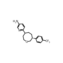 Nc1ccc(C2CCOC[C@H](c3ccc(C(F)(F)F)cc3)CC2)nc1